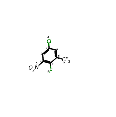 O=[N+]([O-])c1cc(Cl)cc(C(F)(F)F)c1F